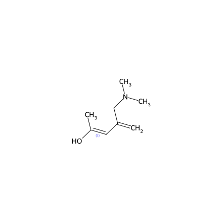 C=C(/C=C(\C)O)CN(C)C